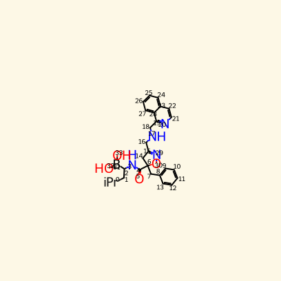 CC(C)CC(NC(=O)C1(Cc2ccccc2)CC(CNCc2nccc3ccccc23)=NO1)B(O)O